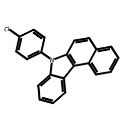 Clc1ccc(-n2c3ccccc3c3c4ccccc4ccc32)cc1